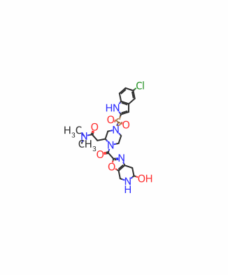 CN(C)C(=O)CC1CN(S(=O)(=O)c2cc3cc(Cl)ccc3[nH]2)CCN1C(=O)c1nc2c(o1)CNC(O)C2